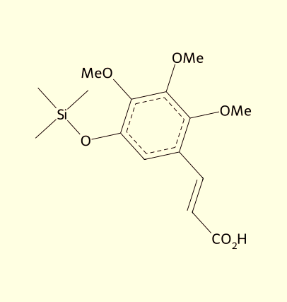 COc1c(C=CC(=O)O)cc(O[Si](C)(C)C)c(OC)c1OC